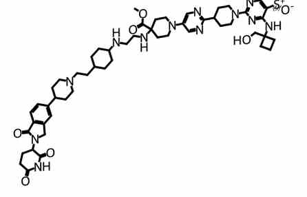 COC(=O)C1(NCCNC2CCC(CCN3CCC(c4ccc5c(c4)CN(C4CCC(=O)NC4=O)C5=O)CC3)CC2)CCN(c2cnc(C3CCN(c4nc5c(c(NC6(CO)CCC6)n4)[S@+]([O-])CC5)CC3)nc2)CC1